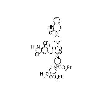 CCOC(=O)C1(C)CC[N+](C2(C(=O)OCC)CCN(C(=O)[C@@H](Cc3cc(Cl)c(N)c(C(F)(F)F)c3)OC(=O)N3CCC(N4CCc5ccccc5NC4=O)CC3)CC2)CC1